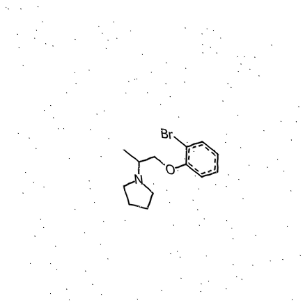 CC(COc1ccccc1Br)N1CCCC1